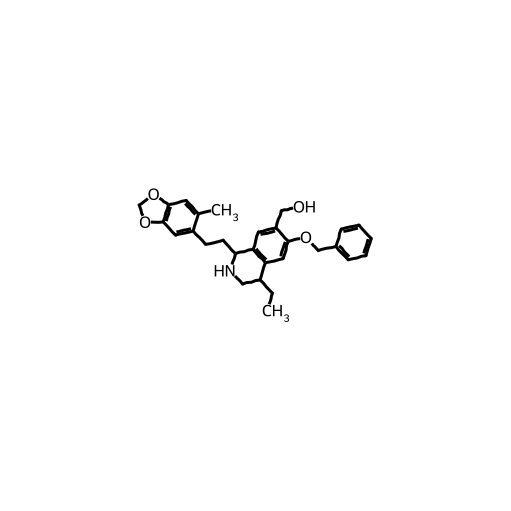 CCC1CNC(CCc2cc3c(cc2C)OCO3)c2cc(CO)c(OCc3ccccc3)cc21